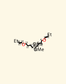 CCC=COCCCC[Si](CCCCOC=CCC)(OC)OC